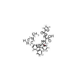 CCN(CC)CC.O=C(O)C(=NOC(=O)c1ccco1)c1csc(NC(c2ccccc2)(c2ccccc2)c2ccccc2)n1